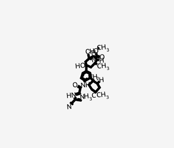 [2H]C1CC(C)(C)CCC1([2H])c1cc(C2(O)CC3(C)C([2H])C([2H])C(C)(C2)N3C(=O)OC)ccc1NC(=O)c1ncc(C#N)[nH]1